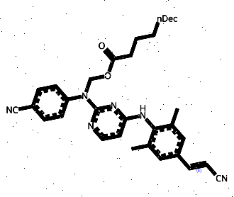 CCCCCCCCCCCCCC(=O)OCN(c1ccc(C#N)cc1)c1nccc(Nc2c(C)cc(/C=C/C#N)cc2C)n1